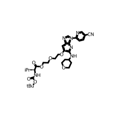 CC(C)[C@H](NC(=O)OC(C)(C)C)C(=O)OCCOCCOc1cc2ncn(-c3ccc(C#N)cn3)c2nc1NC1CCOCC1